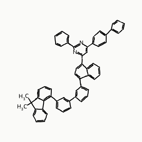 CC1(C)c2ccccc2-c2c(-c3cccc(-c4cccc(-c5ccc(-c6cc(-c7ccc(-c8ccccc8)cc7)nc(-c7ccccc7)n6)c6ccccc56)c4)c3)cccc21